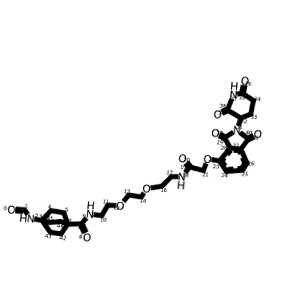 O=CNC12CCC(C(=O)NCCOCCOCCNC(=O)COc3cccc4c3C(=O)N(C3CCC(=O)NC3=O)C4=O)(CC1)CC2